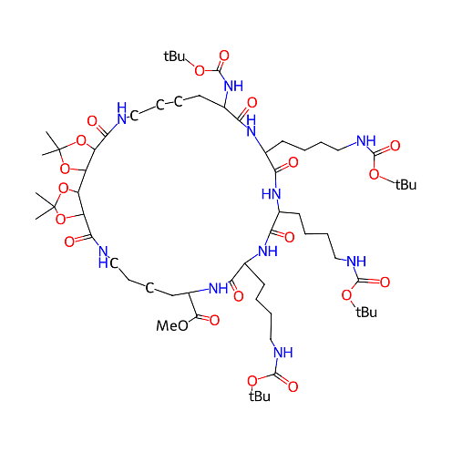 COC(=O)C1CCCCNC(=O)C2OC(C)(C)OC2C2OC(C)(C)OC2C(=O)NCCCCC(NC(=O)OC(C)(C)C)C(=O)NC(CCCCNC(=O)OC(C)(C)C)C(=O)NC(CCCCNC(=O)OC(C)(C)C)C(=O)NC(CCCCNC(=O)OC(C)(C)C)C(=O)N1